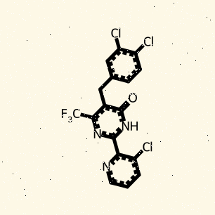 O=c1[nH]c(-c2ncccc2Cl)nc(C(F)(F)F)c1Cc1ccc(Cl)c(Cl)c1